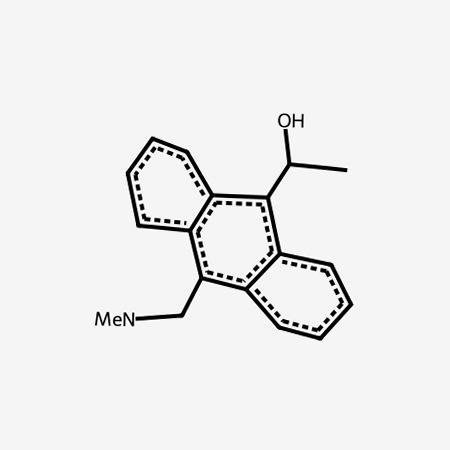 CNCc1c2ccccc2c(C(C)O)c2ccccc12